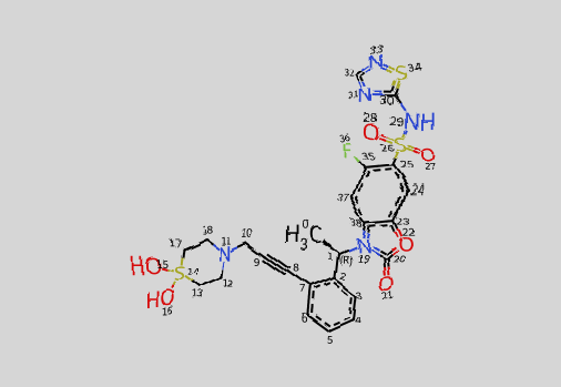 C[C@H](c1ccccc1C#CCN1CCS(O)(O)CC1)n1c(=O)oc2cc(S(=O)(=O)Nc3ncns3)c(F)cc21